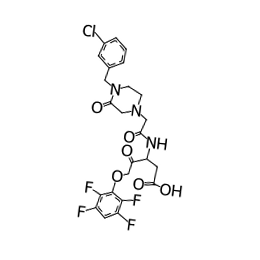 O=C(O)CC(NC(=O)CN1CCN(Cc2cccc(Cl)c2)C(=O)C1)C(=O)COc1c(F)c(F)cc(F)c1F